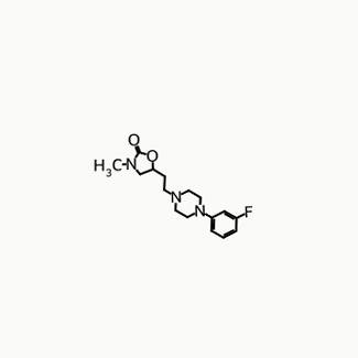 CN1CC(CCN2CCN(c3cccc(F)c3)CC2)OC1=O